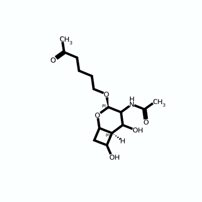 CC(=O)CCCCO[C@@H]1OC2CC(O)[C@@H]2C(O)C1NC(C)=O